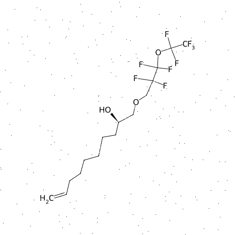 C=CCCCCCC[C@@H](O)COCC(F)(F)C(F)(F)OC(F)(F)C(F)(F)F